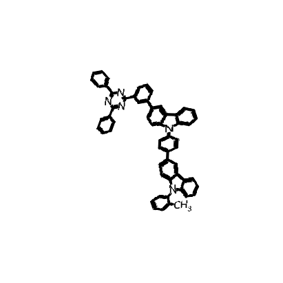 Cc1ccccc1-n1c2ccccc2c2cc(-c3ccc(-n4c5ccccc5c5cc(-c6cccc(-c7nc(-c8ccccc8)nc(-c8ccccc8)n7)c6)ccc54)cc3)ccc21